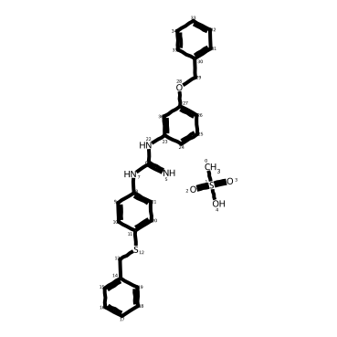 CS(=O)(=O)O.N=C(Nc1ccc(SCc2ccccc2)cc1)Nc1cccc(OCc2ccccc2)c1